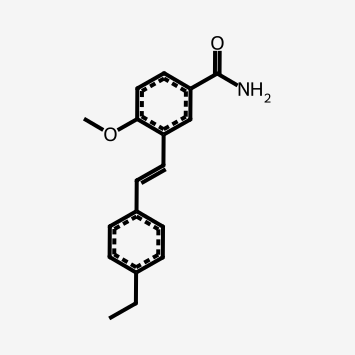 CCc1ccc(C=Cc2cc(C(N)=O)ccc2OC)cc1